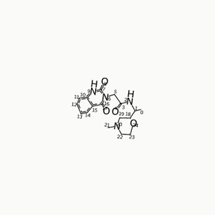 CC(NC(=O)Cn1c(=O)[nH]c2ccccc2c1=O)C1CN(C)CCO1